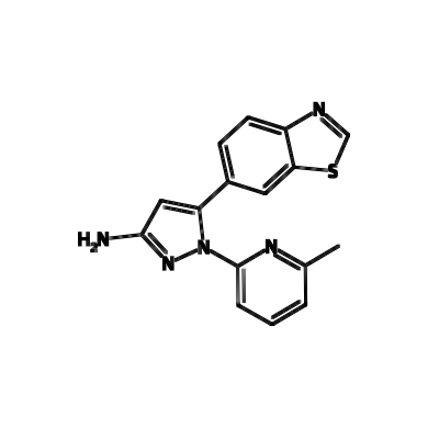 Cc1cccc(-n2nc(N)cc2-c2ccc3ncsc3c2)n1